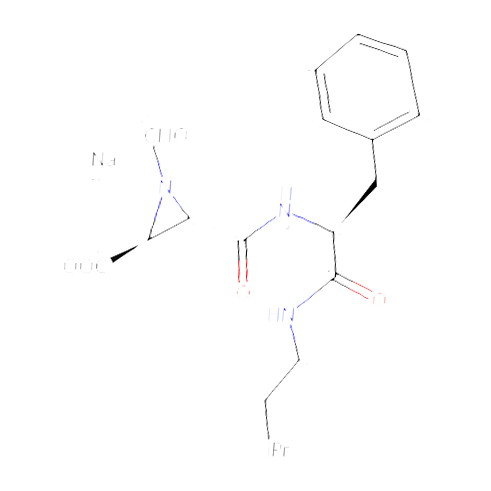 CC(C)CCNC(=O)[C@H](Cc1ccccc1)NC(=O)[C@@H]1[C@@H](C(=O)[O-])N1C=O.[Na+]